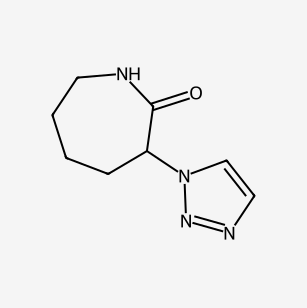 O=C1NCCCCC1n1ccnn1